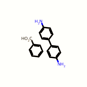 Nc1ccc(-c2ccc(N)cc2)cc1.O=C(O)c1ccccc1